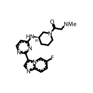 CNCC(=O)N1CCC[C@@H](Nc2ccnc(-c3cnc4ccc(F)cn34)n2)C1